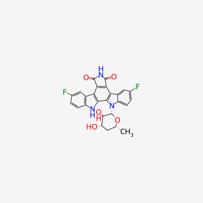 C[C@@H]1C[C@H](O)[C@@H](O)[C@H](n2c3ccc(F)cc3c3c4c(c5c6cc(F)ccc6[nH]c5c32)C(=O)NC4=O)O1